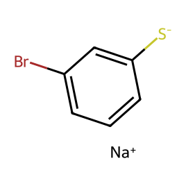 [Na+].[S-]c1cccc(Br)c1